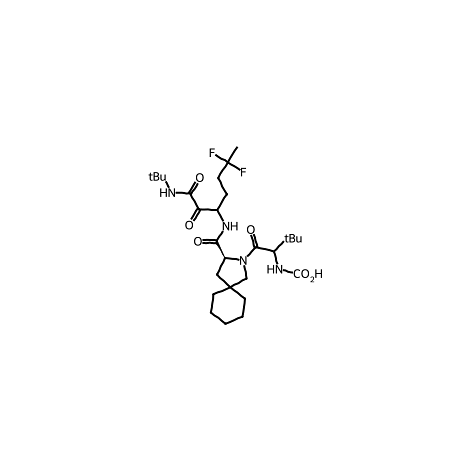 CC(F)(F)CCC(NC(=O)[C@@H]1CC2(CCCCC2)CN1C(=O)C(NC(=O)O)C(C)(C)C)C(=O)C(=O)NC(C)(C)C